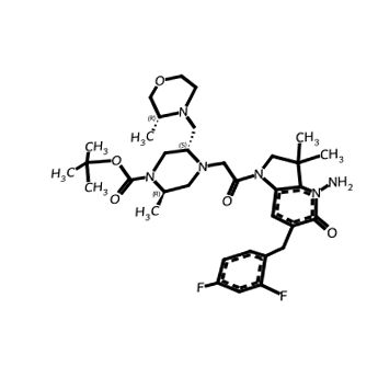 C[C@@H]1COCCN1C[C@H]1CN(C(=O)OC(C)(C)C)[C@H](C)CN1CC(=O)N1CC(C)(C)c2c1cc(Cc1ccc(F)cc1F)c(=O)n2N